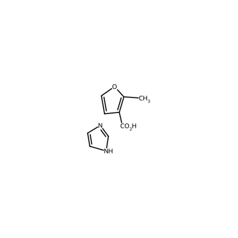 Cc1occc1C(=O)O.c1c[nH]cn1